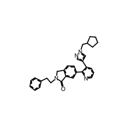 O=C1c2cc(-c3ncccc3-c3cnn(CC4CCCC4)c3)ccc2CN1CCc1ccccc1